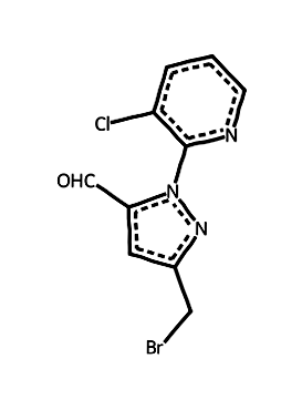 O=Cc1cc(CBr)nn1-c1ncccc1Cl